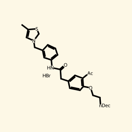 Br.CCCCCCCCCCCCOc1ccc(CC(=O)Nc2cccc(CN3C=C(C)SC3)c2)cc1C(C)=O